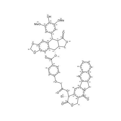 CC[C@@]1(OC(=O)COc2ccc(C(=O)O[C@@H]3c4cc5c(cc4C(c4cc(OC)c(O)c(OC)c4)C4C(=O)OCC43)OCO5)cc2)C(=O)OCc2c1cc1n(c2=O)Cc2cc3ccccc3nc2-1